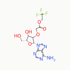 Nc1ncnc2c1ncn2[C@@H]1O[C@H](CO)C(O)C1OCC(=O)OCC(F)(F)F